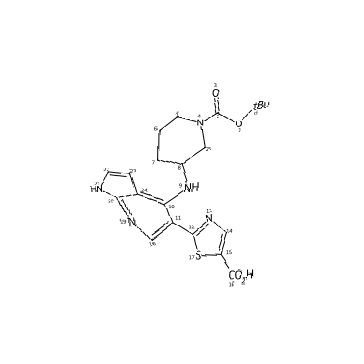 CC(C)(C)OC(=O)N1CCCC(Nc2c(-c3ncc(C(=O)O)s3)cnc3[nH]ccc23)C1